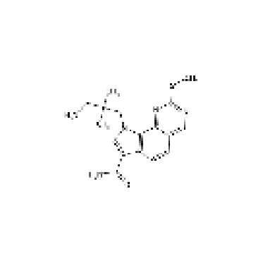 CSc1ncc2ccc3c(C(N)=O)cn(CC(C)(C)CN)c3c2n1